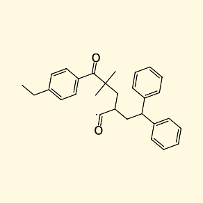 CCc1ccc(C(=O)C(C)(C)CC([C]=O)CC(c2ccccc2)c2ccccc2)cc1